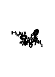 Cn1ncc(NC(=O)c2nc(-c3ccccc3F)sc2N)c1N1CC[C@H](N)[C@@H](F)CC1